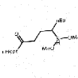 CCCCCCCC(=O)CCC(CCCC)[SiH](OC)OC